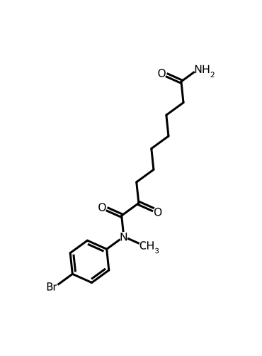 CN(C(=O)C(=O)CCCCCCC(N)=O)c1ccc(Br)cc1